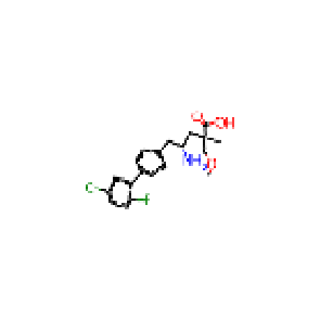 COC[C@](C)(C[C@H](N)Cc1ccc(-c2cc(Cl)ccc2F)cc1)C(=O)O